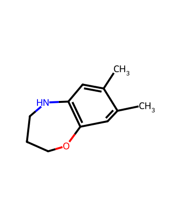 Cc1cc2c(cc1C)OCCCN2